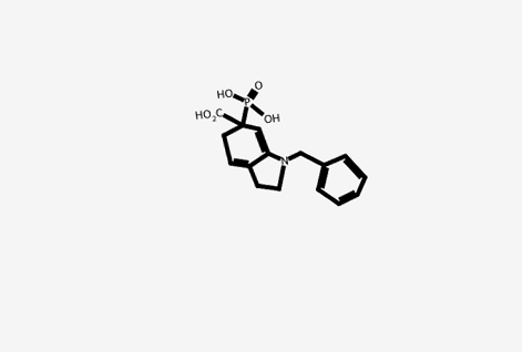 O=C(O)C1(P(=O)(O)O)C=C2C(=CC1)CCN2Cc1ccccc1